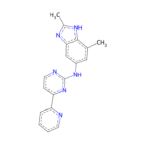 Cc1nc2cc(Nc3nccc(-c4ccccn4)n3)cc(C)c2[nH]1